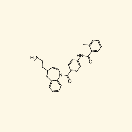 Cc1ccccc1C(=O)Nc1ccc(C(=O)N2C=CC(CCN)Sc3ccccc32)cc1